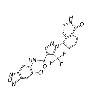 O=C(Nc1cc2nonc2cc1Cl)c1cnn(-c2cccc3c(=O)[nH]ccc23)c1C(F)(F)F